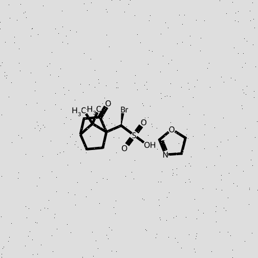 C1=NCCO1.CC1(C)C2CCC1([C@@H](Br)S(=O)(=O)O)C(=O)C2